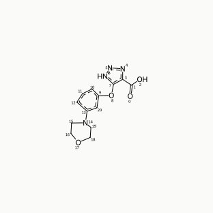 O=C(O)c1nn[nH]c1Oc1cccc(N2CCOCC2)c1